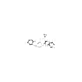 Fc1ccc(F)c(CN2CCN(c3nc4cncc(Cl)c4nc3NC3CC3)CC2)c1